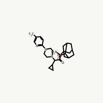 NC(=O)C12CC3CC(C1)C(NC(=O)C(C1CC1)N1CCN(c4ccc(C(F)(F)F)cn4)CC1)C(C3)C2